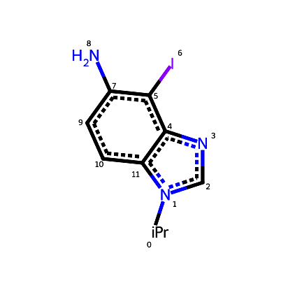 CC(C)n1cnc2c(I)c(N)ccc21